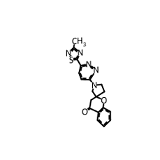 Cc1nsc(-c2ccc(N3CCC4(CC(=O)c5ccccc5O4)C3)nn2)n1